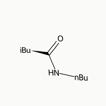 CCCCNC(=O)[C@H](C)CC